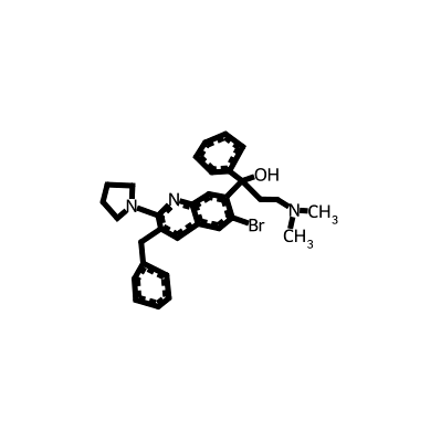 CN(C)CCC(O)(c1ccccc1)c1cc2nc(N3CCCC3)c(Cc3ccccc3)cc2cc1Br